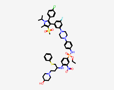 CCOP(=O)(Nc1ccc(N2CCN(c3cc(F)cc(-c4c(S(C)(=O)=O)c(C)n(C(C)C)c4-c4ccc(Cl)cc4)c3)CC2)cc1)c1ccc(NC(CCN2CCC(O)CC2)CSc2ccccc2)c([N+](=O)[O-])c1